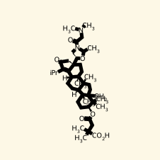 BC12CC[C@]3(C)[C@H](CC[C@@H]4C5=C(C(C)C)C(=O)C[C@]5([C@@H]5CN(C(=O)CN(C)C)C(C)O5)CC[C@]43C)[C@@]1(C)CC[C@H](OC(=O)CC(C)(C)C(=O)O)C2(C)C